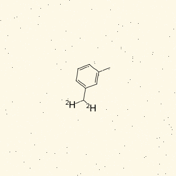 [2H]C([2H])c1cccc(C)c1